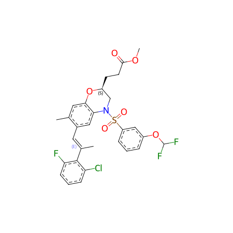 COC(=O)CC[C@H]1CN(S(=O)(=O)c2cccc(OC(F)F)c2)c2cc(/C=C(\C)c3c(F)cccc3Cl)c(C)cc2O1